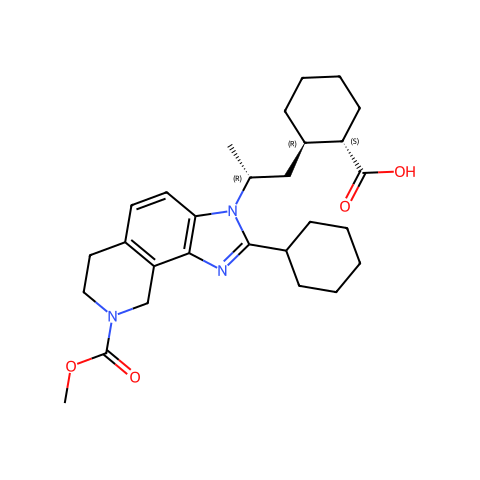 COC(=O)N1CCc2ccc3c(nc(C4CCCCC4)n3[C@H](C)C[C@H]3CCCC[C@@H]3C(=O)O)c2C1